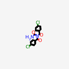 NC(=O)N(C(=O)c1ccc(Cl)cc1)C(=O)c1ccc(Cl)cc1